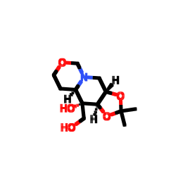 CC1(C)O[C@H]2CN3COCC[C@@H]3[C@](O)(CO)[C@@H]2O1